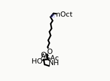 CCCCCCCC/C=C\CCCCCCCCOC(=O)[C@@]1(C(C)=O)NCCC1(O)C(C)=O